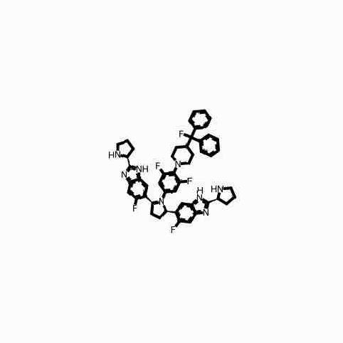 Fc1cc2nc([C@@H]3CCCN3)[nH]c2cc1[C@H]1CC[C@@H](c2cc3[nH]c([C@@H]4CCCN4)nc3cc2F)N1c1cc(F)c(N2CCC(C(F)(c3ccccc3)c3ccccc3)CC2)c(F)c1